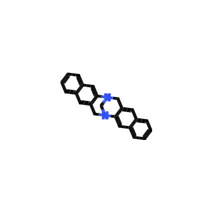 c1ccc2cc3c(cc2c1)CN1CN3Cc2cc3ccccc3cc21